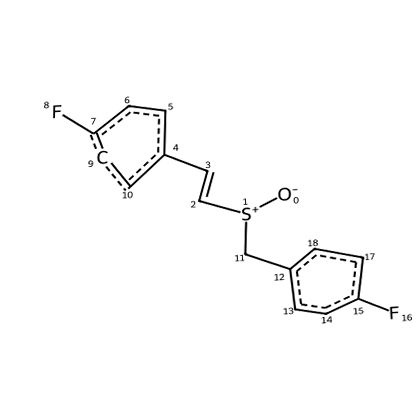 [O-][S+](/C=C/c1ccc(F)cc1)Cc1ccc(F)cc1